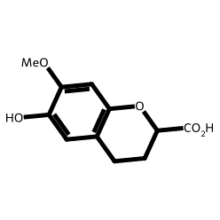 COc1cc2c(cc1O)CCC(C(=O)O)O2